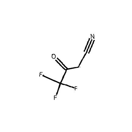 N#C[CH]C(=O)C(F)(F)F